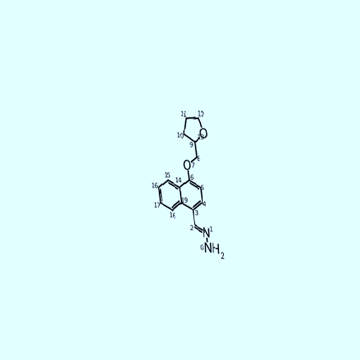 NN=Cc1ccc(OCC2CCCO2)c2ccccc12